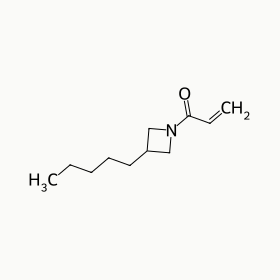 C=CC(=O)N1CC(CCCCC)C1